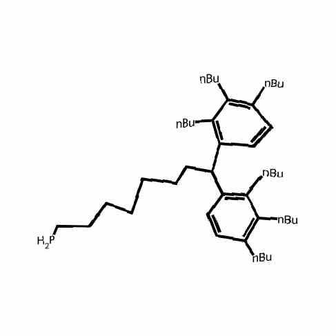 CCCCc1ccc(C(CCCCCCCP)c2ccc(CCCC)c(CCCC)c2CCCC)c(CCCC)c1CCCC